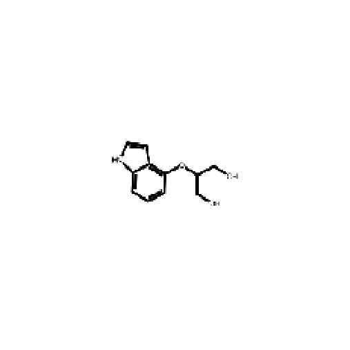 OCC(CO)Oc1cccc2[nH]ccc12